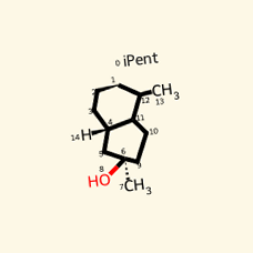 CCC[C@H](C)[C@@H]1CC[C@H]2C[C@](C)(O)CCC2C1C